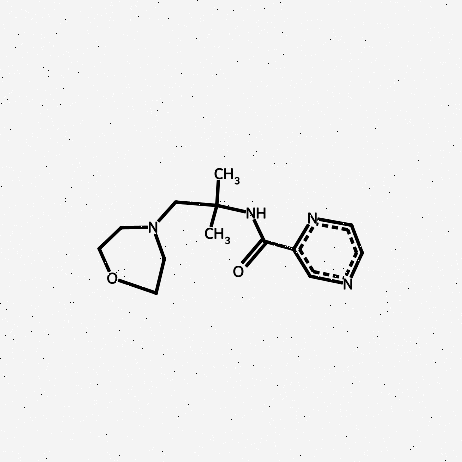 CC(C)(CN1CCOCC1)NC(=O)c1cnccn1